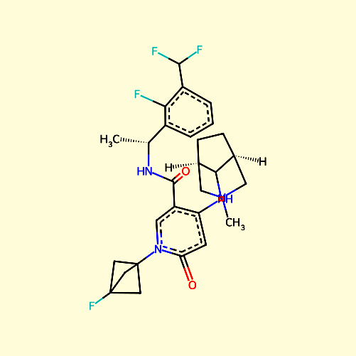 C[C@@H](NC(=O)c1cn(C23CC(F)(C2)C3)c(=O)cc1NC1[C@@H]2CC[C@H]1CN(C)C2)c1cccc(C(F)F)c1F